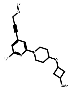 COC1CC(OC2CCN(c3cc(C#CCOC(C)C)cc(C(F)(F)F)n3)CC2)C1